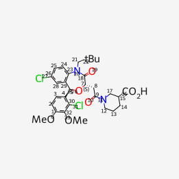 COc1ccc([C@@H]2O[C@@H](CC(=O)N3CCCC(C(=O)O)C3)C(=O)N(CC(C)(C)C)c3ccc(Cl)cc32)c(Cl)c1OC